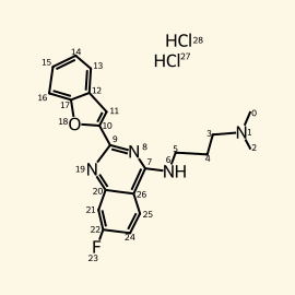 CN(C)CCCNc1nc(-c2cc3ccccc3o2)nc2cc(F)ccc12.Cl.Cl